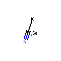 N#[C][K].[SeH2]